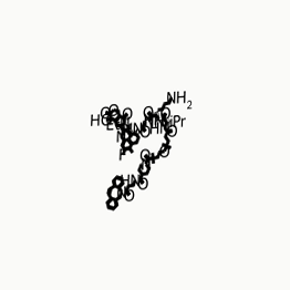 CC[C@@]1(O)C(=O)OCc2c1cc1n(c2=O)Cc2c-1nc1cc(F)c(C)c3c1c2[C@@H](NC(=O)CNC(=O)[C@H](CCCCN)NC(=O)[C@@H](NC(=O)CCC(C)(C)OCCC(C)(C)C(=O)N1CCC(C(=O)NCCC(=O)N2Cc4ccccc4C#Cc4ccccc42)CC1)C(C)C)CC3